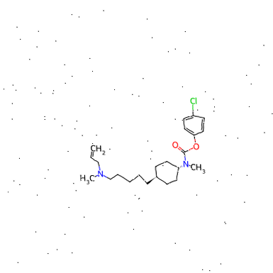 C=CCN(C)CCCCC[C@H]1CC[C@H](N(C)C(=O)Oc2ccc(Cl)cc2)CC1